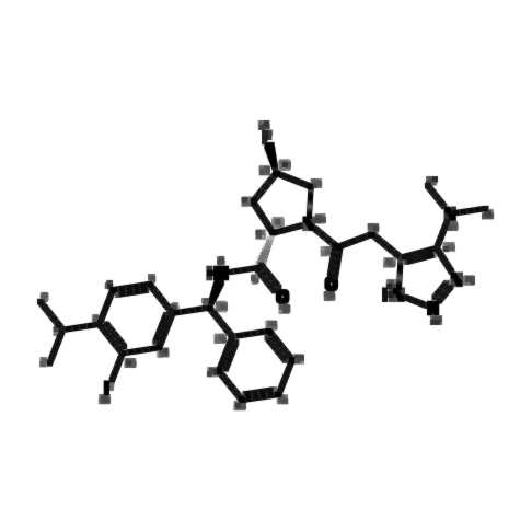 CC(C)c1ccc([C@@H](NC(=O)[C@@H]2C[C@@H](F)CN2C(=O)Cc2[nH]nnc2N(C)C)c2ccccc2)cc1F